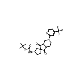 CC(C)(C)OC(=O)N[C@@H]1CC[C@]2(C1)C(=O)C1CN(c3cc(C(F)(F)F)ccn3)CCN1C2=O